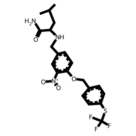 CC(C)CC(NCc1ccc(OCc2ccc(SC(F)(F)F)cc2)c([N+](=O)[O-])c1)C(N)=O